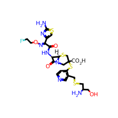 Nc1nc(C(=NOCCF)C(=O)N[C@@H]2C(=O)N3CC(Sc4ccncc4CSCC(N)CO)(C(=O)O)CS[C@H]23)cs1